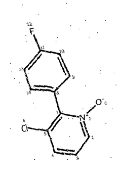 [O-][n+]1cccc(Cl)c1-c1ccc(F)cc1